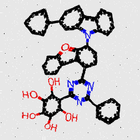 Oc1c(O)c(O)c(-c2nc(-c3ccccc3)nc(-c3ccc(-n4c5ccccc5c5ccc(-c6ccccc6)cc54)c4oc5ccccc5c34)n2)c(O)c1O